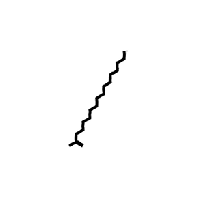 [CH2]CCCCCCCCCCCCCCC(=C)C